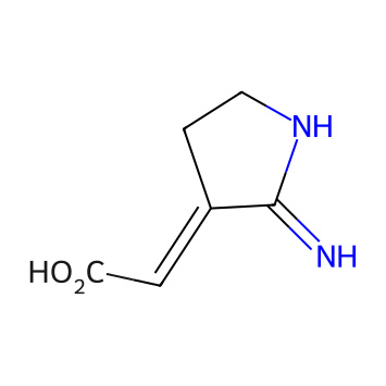 N=C1NCC/C1=C\C(=O)O